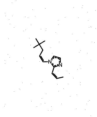 C/C=C\c1nccn1/C=C\CC(C)(C)C